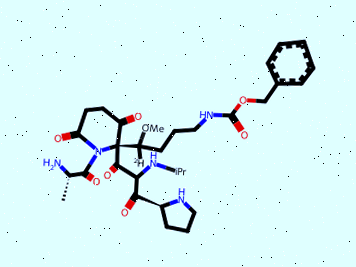 [2H]C(CCCNC(=O)OCc1ccccc1)(OC)[C@]1(C(=O)C(NC(C)C)C(=O)[C@@H]2CCCN2)C(=O)CCC(=O)N1C(=O)[C@H](C)N